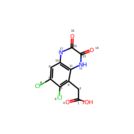 O=C(O)Cc1c(Cl)c(Cl)cc2c1NC(=O)C(=O)[N]2